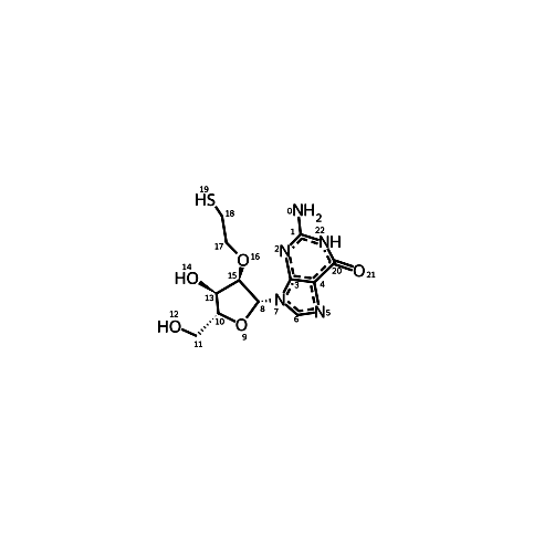 Nc1nc2c(ncn2[C@@H]2O[C@H](CO)[C@@H](O)[C@H]2OCCS)c(=O)[nH]1